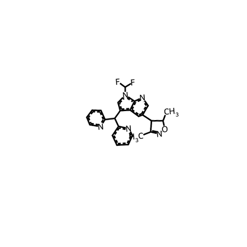 CC1=NOC(C)C1c1cnc2c(c1)c(C(c1ccccn1)c1ccccn1)cn2C(F)F